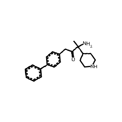 CC(N)(C(=O)Cc1ccc(-c2ccccc2)cc1)C1CCNCC1